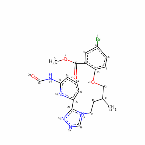 COC(=O)c1cc(Br)ccc1OCC(C)CCn1cnnc1-c1cccc(NC=O)n1